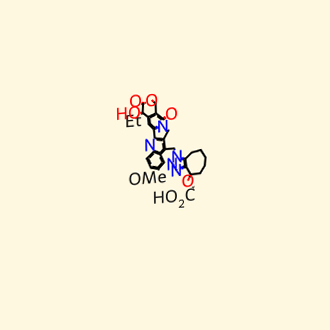 CC[C@@]1(O)C(=O)OCc2c1cc1n(c2=O)Cc2c-1nc1ccc(OC)cc1c2Cn1nnc2c1CCCCCC2OCC(=O)O